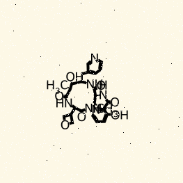 C[C@H]1NC(=O)C(C2COC2)NC(=O)[C@H](C)[C@H](O)[C@H](Cc2cccnc2)NC(=O)[C@H]1NC(=O)c1ncccc1O